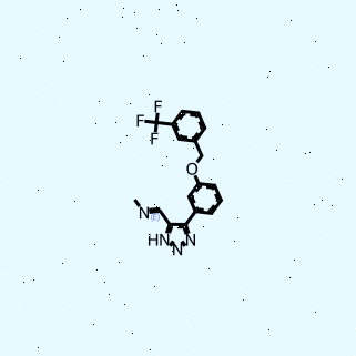 C/N=C/c1[nH]nnc1-c1cccc(OCc2cccc(C(F)(F)F)c2)c1